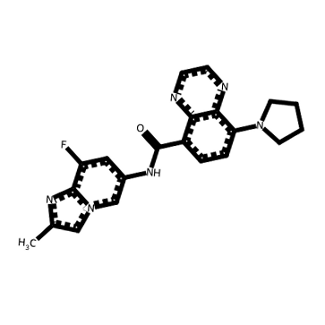 Cc1cn2cc(NC(=O)c3ccc(N4CCCC4)c4nccnc34)cc(F)c2n1